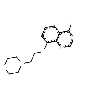 Clc1ncnc2c(OCCN3CCOCC3)cccc12